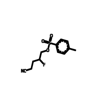 Cc1ccc(S(=O)(=O)OCC(F)CCC#N)cc1